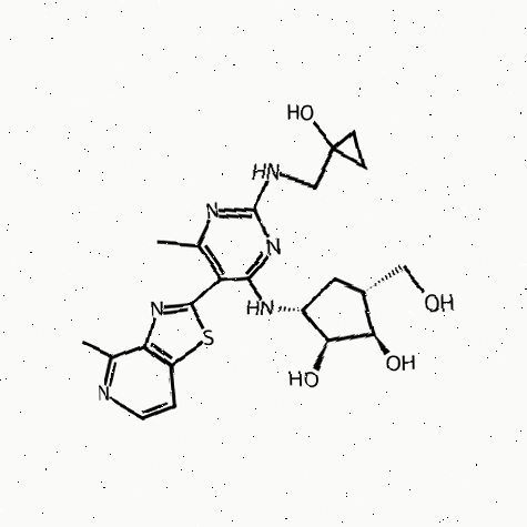 Cc1nc(NCC2(O)CC2)nc(N[C@@H]2C[C@H](CO)[C@@H](O)[C@H]2O)c1-c1nc2c(C)nccc2s1